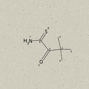 CC(C)(C)C(=O)C(N)=S